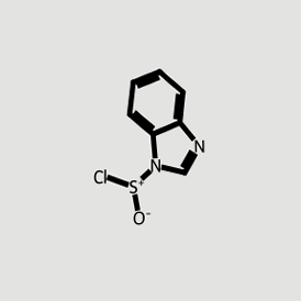 [O-][S+](Cl)n1cnc2ccccc21